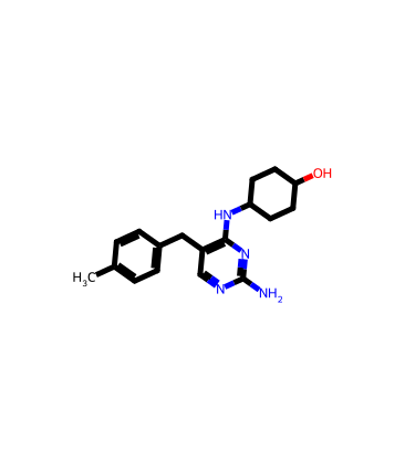 Cc1ccc(Cc2cnc(N)nc2NC2CCC(O)CC2)cc1